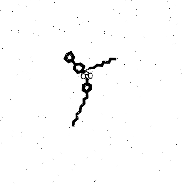 CCCCCCCCCc1ccc(C(=O)OC2(SCCCCCCCC)C=CC(c3ccccc3)C=C2)cc1